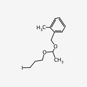 Cc1ccccc1COC(C)OCCCI